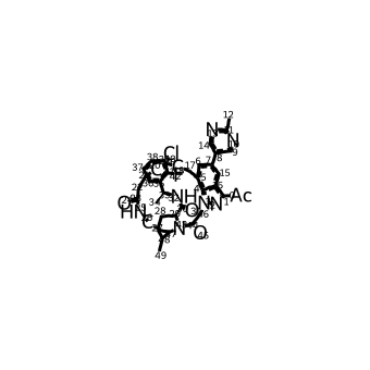 CC(=O)c1nn2c3c(cc(-c4cnc(C)nc4)cc13)CCCCCCC(=O)NC[C@@]13C[C@@H](C(=O)N[C@@H](C)c4cccc(Cl)c4F)N(C(=O)C2)C1C3C